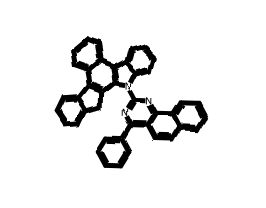 c1ccc(-c2nc(-n3c4ccccc4c4c5ccccc5c5c(c43)Cc3ccccc3-5)nc3c2ccc2ccccc23)cc1